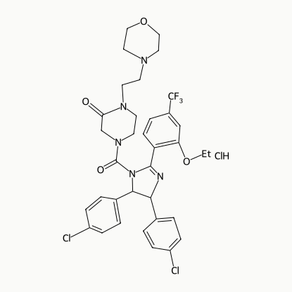 CCOc1cc(C(F)(F)F)ccc1C1=NC(c2ccc(Cl)cc2)C(c2ccc(Cl)cc2)N1C(=O)N1CCN(CCN2CCOCC2)C(=O)C1.Cl